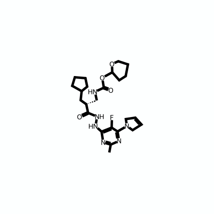 Cc1nc(NNC(=O)[C@@H](CNC(=O)OC2CCCCO2)CC2CCCC2)c(F)c(N2CC=CC2)n1